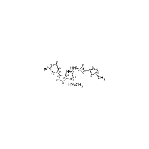 CNc1nc(NC23CC(n4cnc(C)c4)(C2)C3)nc2c1CCC2c1cccc(F)c1